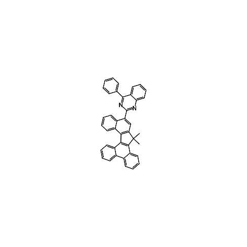 CC1(C)c2cc(-c3nc(-c4ccccc4)c4ccccc4n3)c3ccccc3c2-c2c1c1ccccc1c1ccccc21